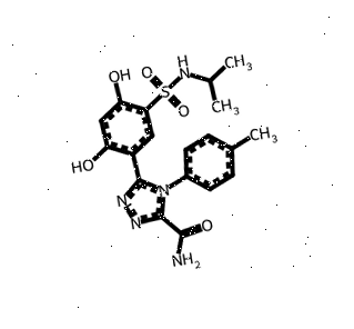 Cc1ccc(-n2c(C(N)=O)nnc2-c2cc(S(=O)(=O)NC(C)C)c(O)cc2O)cc1